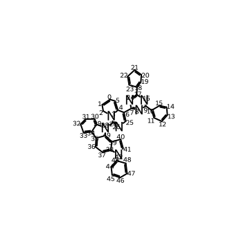 C1=CCN2C(=C1)C(c1nc(-c3ccccc3)nc(-c3ccccc3)n1)=CN=C2n1c2ccccc2c2ccc3c(ccn3-c3ccccc3)c21